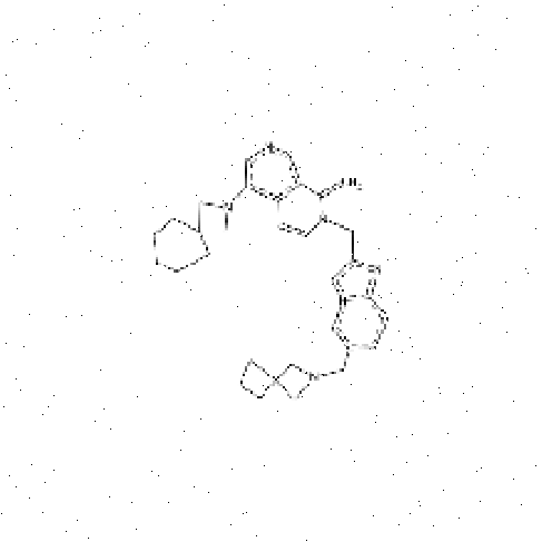 C=C1c2cncc(N3CC4(CCCCC4)C3)c2C=CN1Cc1cn2cc(CN3CC4(CCC4)C3)ccc2n1